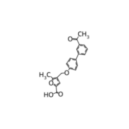 CC(=O)c1cccc(-c2ccc(OCc3cc(C(=O)O)oc3C)cc2)c1